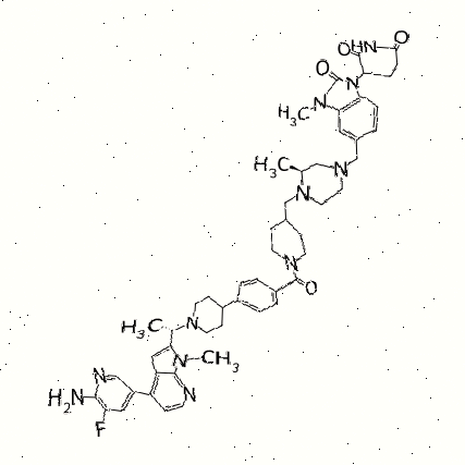 C[C@H]1CN(Cc2ccc3c(c2)n(C)c(=O)n3C2CCC(=O)NC2=O)CCN1CC1CCN(C(=O)c2ccc(C3CCN([C@@H](C)c4cc5c(-c6cnc(N)c(F)c6)ccnc5n4C)CC3)cc2)CC1